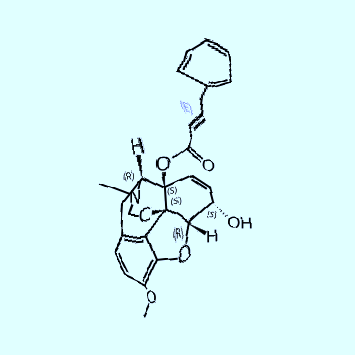 COc1ccc2c3c1O[C@H]1[C@@H](O)C=C[C@@]4(OC(=O)/C=C/c5ccccc5)[C@@H](C2)N(C)CC[C@]314